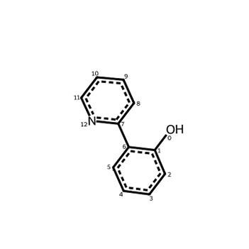 Oc1ccc[c]c1-c1ccccn1